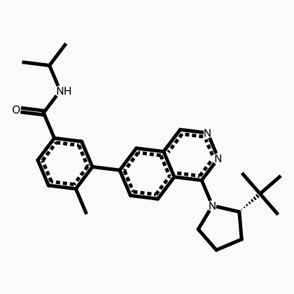 Cc1ccc(C(=O)NC(C)C)cc1-c1ccc2c(N3CCC[C@H]3C(C)(C)C)nncc2c1